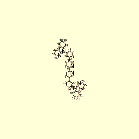 c1cc(-c2ccc(-c3ccc(-c4cccc(-n5c6ccccc6c6cccnc65)c4)cn3)nc2)cc(-n2c3ccccc3c3cccnc32)c1